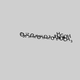 CC(C)(O)ONCCOCCOCCOCCOCCC=O